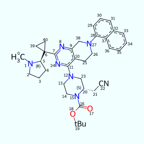 CN1CCC[C@@H]1C1(c2nc3c(c(N4CCN(C(=O)OC(C)(C)C)[C@@H](CC#N)C4)n2)CCN(c2cccc4ccccc24)C3)CC1